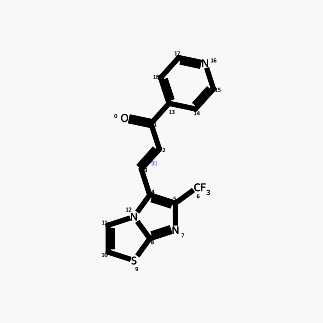 O=C(/C=C/c1c(C(F)(F)F)nc2sccn12)c1ccncc1